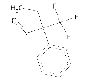 CCC([C]=O)(c1ccccc1)C(F)(F)F